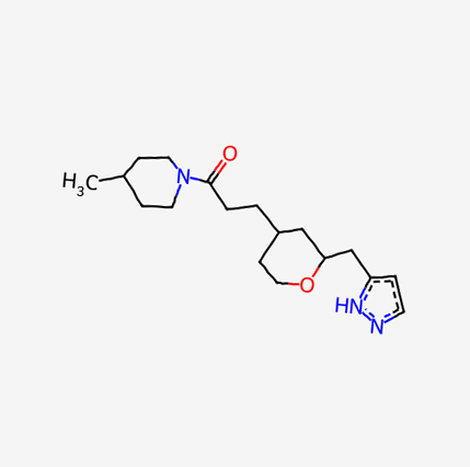 CC1CCN(C(=O)CCC2CCOC(Cc3ccn[nH]3)C2)CC1